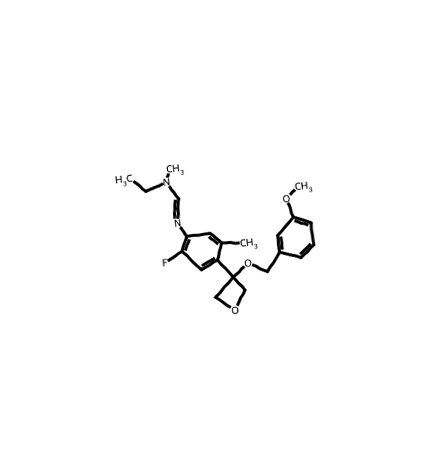 CCN(C)C=Nc1cc(C)c(C2(OCc3cccc(OC)c3)COC2)cc1F